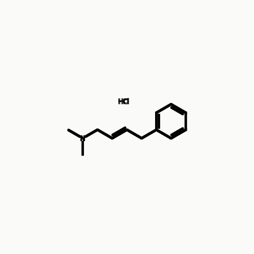 CN(C)CC=CCc1ccccc1.Cl